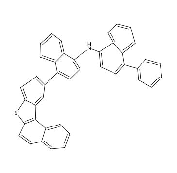 c1ccc(-c2ccc(Nc3ccc(-c4ccc5sc6ccc7ccccc7c6c5c4)c4ccccc34)c3ccccc23)cc1